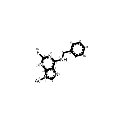 CC(=O)n1cnc2c(NCc3ccccc3)nc(F)nc21